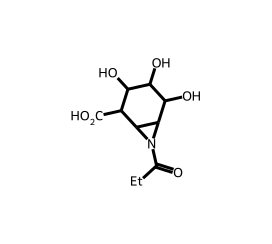 CCC(=O)N1C2C(O)C(O)C(O)C(C(=O)O)C21